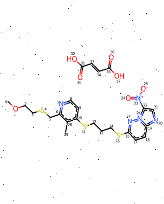 COCCSCc1nccc(SCCCSc2ccc3ncc([N+](=O)[O-])n3n2)c1C.O=C(O)/C=C/C(=O)O